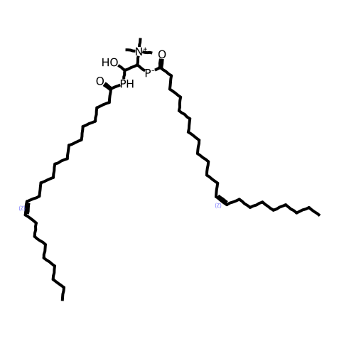 CCCCCCCC/C=C\CCCCCCCCCCCC(=O)[P-]C(C(O)PC(=O)CCCCCCCCCCC/C=C\CCCCCCCC)[N+](C)(C)C